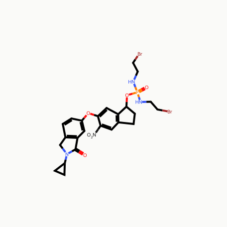 O=C1c2cc(Oc3cc4c(cc3[N+](=O)[O-])CCC4OP(=O)(NCCBr)NCCBr)ccc2CN1C1CC1